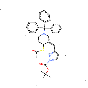 CC(=O)SC1CCN(C(c2ccccc2)(c2ccccc2)c2ccccc2)CC1=Cc1ccn(C(=O)OC(C)(C)C)n1